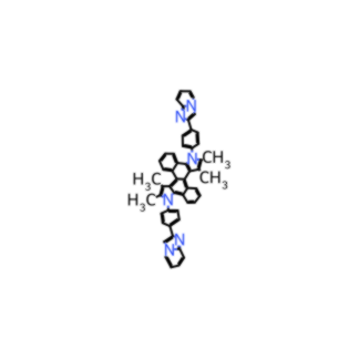 Cc1c(C)n(-c2ccc(-c3cn4ccccc4n3)cc2)c2c3ccccc3c3c4c(C)c(C)n(-c5ccc(-c6cn7ccccc7n6)cc5)c4c4ccccc4c3c12